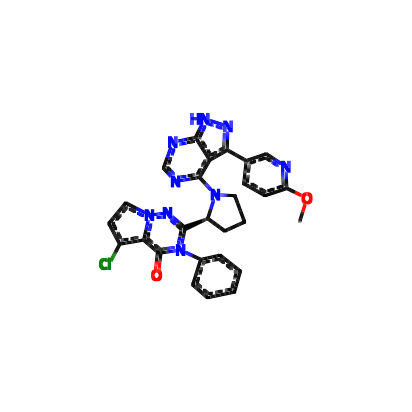 COc1ccc(-c2n[nH]c3ncnc(N4CCC[C@H]4c4nn5ccc(Cl)c5c(=O)n4-c4ccccc4)c23)cn1